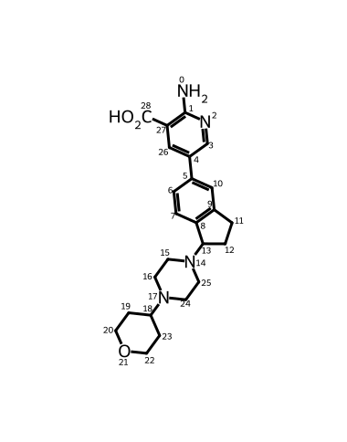 Nc1ncc(-c2ccc3c(c2)CCC3N2CCN(C3CCOCC3)CC2)cc1C(=O)O